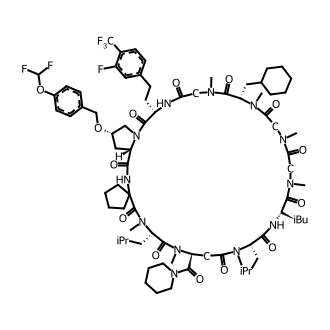 CC[C@H](C)[C@@H]1NC(=O)[C@H](CC(C)C)N(C)C(=O)C[C@@H](C(=O)N2CCCCC2)N(C)C(=O)[C@H](CC(C)C)N(C)C(=O)C2(CCCC2)NC(=O)[C@@H]2C[C@H](OCc3ccc(OC(F)F)cc3)CN2C(=O)[C@H](CCc2ccc(C(F)(F)F)c(F)c2)NC(=O)CN(C)C(=O)[C@H](CC2CCCCC2)N(C)C(=O)CN(C)C(=O)CN(C)C1=O